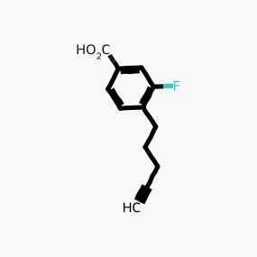 C#CCCCc1ccc(C(=O)O)cc1F